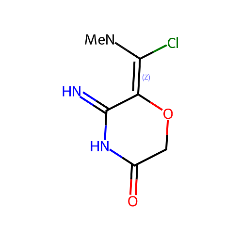 CN/C(Cl)=C1/OCC(=O)NC1=N